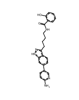 Nc1ccc(-c2ccc3c(CCCCNC(=O)c4ccccc4O)n[nH]c3c2)cn1